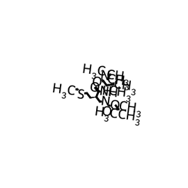 CCSCC[C@H](CNC(=O)OC(C)(C)C)C(=O)N[C@H](C(=O)N(C)C)C(C)(C)C